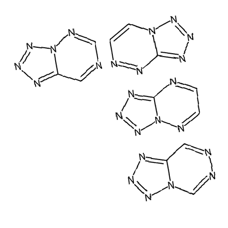 c1cn2nnnc2nn1.c1cnn2nnnc2n1.c1ncc2nnnn2n1.c1nncn2nnnc12